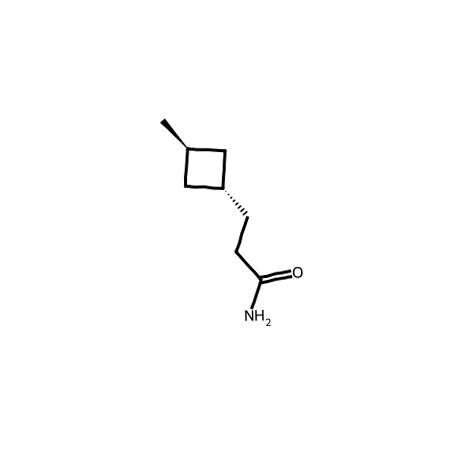 C[C@H]1C[C@H](CCC(N)=O)C1